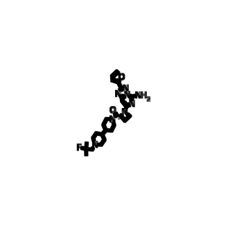 CC(C)(F)CN1CCC(C2CCN(C(=O)[C@@H]3CCN3c3cc4nc(-c5ccco5)nn4c(N)n3)CC2)CC1